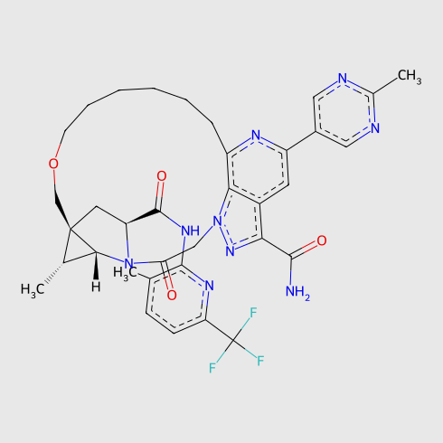 Cc1ncc(-c2cc3c(C(N)=O)nn4c3c(n2)CCCCCCOC[C@@]23C[C@@H](C(=O)Nc5nc(C(F)(F)F)ccc5C)N(C(=O)C4)[C@@H]2[C@@H]3C)cn1